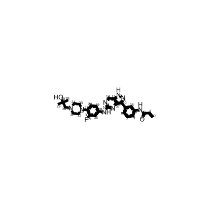 C=CC(=O)Nc1cccc(-c2n[nH]c3cnc(Nc4ccc(N5CCN(CC(C)(C)O)CC5)c(F)c4)nc23)c1